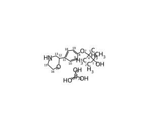 CC(C)(O)C(C)(C)Oc1ccc(C2CNCCO2)cc1.OB(O)O